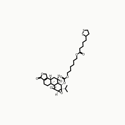 CC(C)[C@]12O[C@H]1[C@@H]1O[C@]13[C@]1(O[C@H]1C[C@H]1C4=C(CC[C@@]13C)C(=O)OC4)[C@@H]2OC(=O)OCCCCCCOC(=O)CCCCC1CCSS1